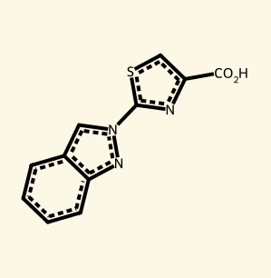 O=C(O)c1csc(-n2cc3ccccc3n2)n1